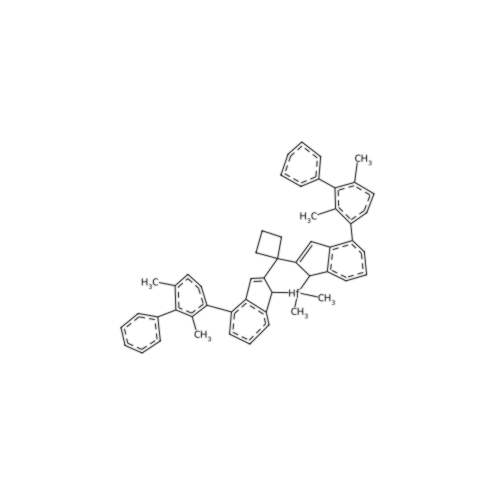 Cc1ccc(-c2cccc3c2C=C2[CH]3[Hf]([CH3])([CH3])[CH]3C(=Cc4c(-c5ccc(C)c(-c6ccccc6)c5C)cccc43)C23CCC3)c(C)c1-c1ccccc1